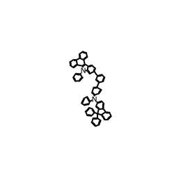 c1ccc(N(c2ccc(-c3cccc(-c4ccc5c6c7ccccc7c7ccccc7c6n(-c6ccccc6)c5c4)c3)cc2)c2ccc3c(c2)C(c2ccccc2)(c2ccccc2)c2ccccc2-3)cc1